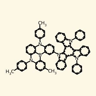 Cc1ccc(N2c3ccc(C)cc3B3c4cc(-n5c6ccccc6c6c7c(c8ccccc8n7-c7ccccc7)c7c(c8ccccc8n7-c7ccccc7)c65)ccc4N(c4ccc(C)cc4)c4cccc2c43)cc1